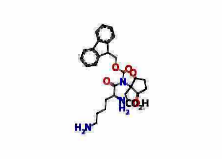 NCCCC[C@H](N)C(=O)N(C(=O)OCC1c2ccccc2-c2ccccc21)C1(CC(=O)O)C(=O)CCC1=O